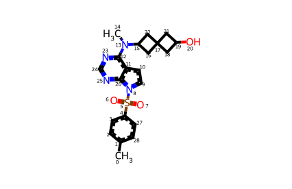 Cc1ccc(S(=O)(=O)n2ccc3c(N(C)C4CC5(CC(O)C5)C4)ncnc32)cc1